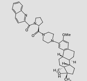 COc1cc2c(cc1N1CCN(C(=O)[C@@H]3CCCN3C(=O)c3ccc4ccccc4n3)CC1)[C@H]1CC[C@@]3(C)[C@@H](CC[C@]3(C)O)[C@@H]1CC2